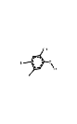 CCOc1cc(C)c(Br)cc1O